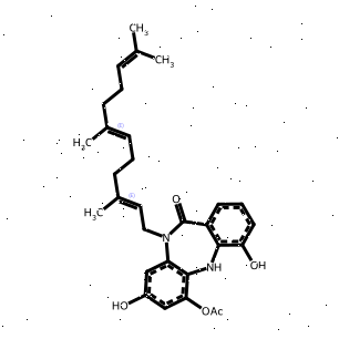 CC(=O)Oc1cc(O)cc2c1Nc1c(O)cccc1C(=O)N2C/C=C(\C)CC/C=C(\C)CCC=C(C)C